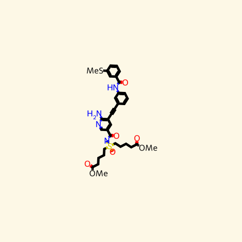 COC(=O)CCCCS(=O)(CCCCC(=O)OC)=NC(=O)c1cnc(N)c(C#Cc2cccc(NC(=O)c3cccc(SC)c3)c2)c1